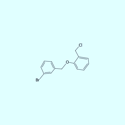 ClCc1ccccc1OCc1cccc(Br)c1